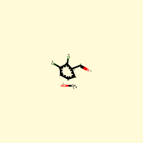 CO.O=Cc1cccc(Cl)c1Cl